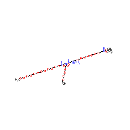 C#CCOCCOCCOCCOCCC(=O)N(CC(=O)NCCOCCOCCOCCOCCOCCOCCOCCOCCOCCOCCOCCOC)CC(=O)NCCN(N)/C=C(\N)COCCOCCOCCOCCOCCOCCOCCCCNC(=O)OC(C)(C)C